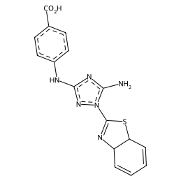 Nc1nc(Nc2ccc(C(=O)O)cc2)nn1C1=NC2C=CC=CC2S1